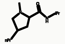 CCCC1CC(C(=O)NC(C)C)N(C)C1